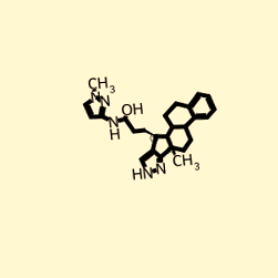 Cn1ccc(NC(O)CC[C@@H]2c3c[nH]nc3[C@@]3(C)CCC4c5ccccc5CCC4C23)n1